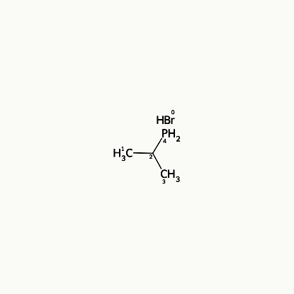 Br.CC(C)P